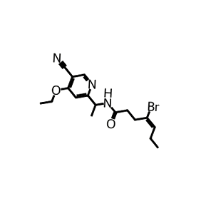 CC/C=C(/Br)CCC(=O)NC(C)c1cc(OCC)c(C#N)cn1